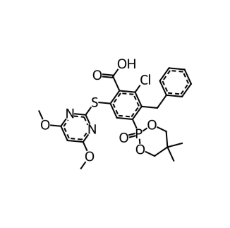 COc1cc(OC)nc(Sc2cc(P3(=O)OCC(C)(C)CO3)c(Cc3ccccc3)c(Cl)c2C(=O)O)n1